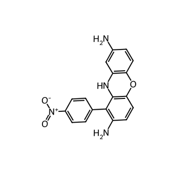 Nc1ccc2c(c1)Nc1c(ccc(N)c1-c1ccc([N+](=O)[O-])cc1)O2